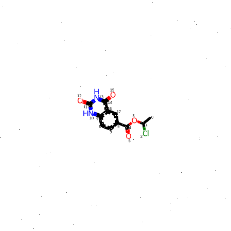 CC(Cl)OC(=O)c1ccc2[nH]c(=O)[nH]c(=O)c2c1